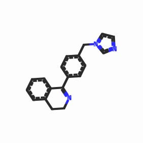 c1ccc2c(c1)CCN=C2c1ccc(Cn2ccnc2)cc1